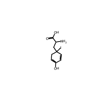 NC(CC1(I)C=CC(O)=CC1)C(=O)O